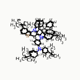 CC(C)(C)c1ccc(N(c2ccc(C(C)(C)C)cc2)c2ccc3c(c2)-n2c4ccc(C(C)(C)C)cc4c4c([Si](c5ccccc5)(c5ccccc5)c5ccccc5)c5c6ccccc6n6c5c(c42)B3c2sc3ccc(C(C)(C)C)cc3c2-6)cc1